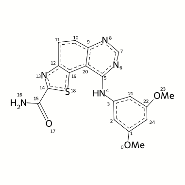 COc1cc(Nc2ncnc3ccc4nc(C(N)=O)sc4c23)cc(OC)c1